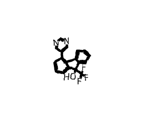 OC1(C(F)(F)F)c2ccccc2-c2c(-c3cncnc3)cccc21